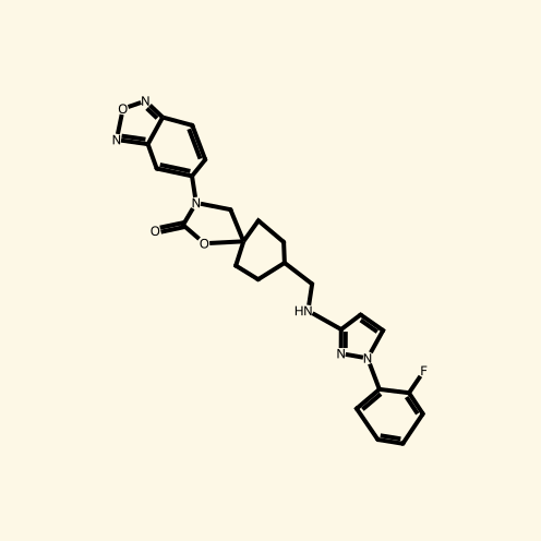 O=C1OC2(CCC(CNc3ccn(-c4ccccc4F)n3)CC2)CN1c1ccc2nonc2c1